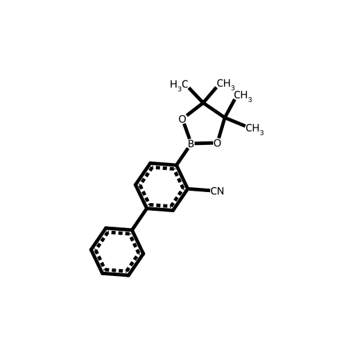 CC1(C)OB(c2ccc(-c3ccccc3)cc2C#N)OC1(C)C